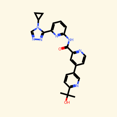 CC(C)(O)c1ccc(-c2ccnc(C(=O)Nc3cccc(-c4nncn4C4CC4)n3)c2)cn1